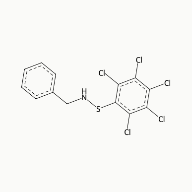 Clc1c(Cl)c(Cl)c(SNCc2ccccc2)c(Cl)c1Cl